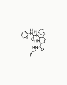 O=C(NCCF)C1C=CC2=C(N1)N(C(=O)Nc1ccccn1)[C@H]1CCN2C1